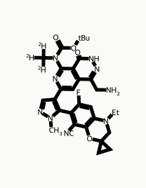 [2H]C([2H])([2H])N(C(=O)OC(C)(C)C)c1nc(-c2cnn(C)c2-c2c(F)cc3c(c2C#N)OC2(CC2)CN3CC)cc2c(CN)n[nH]c(=O)c12